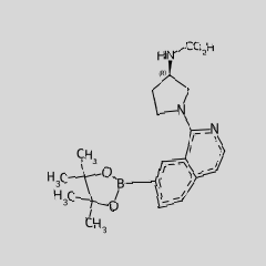 CC1(C)OB(c2ccc3ccnc(N4CC[C@@H](NC(=O)O)C4)c3c2)OC1(C)C